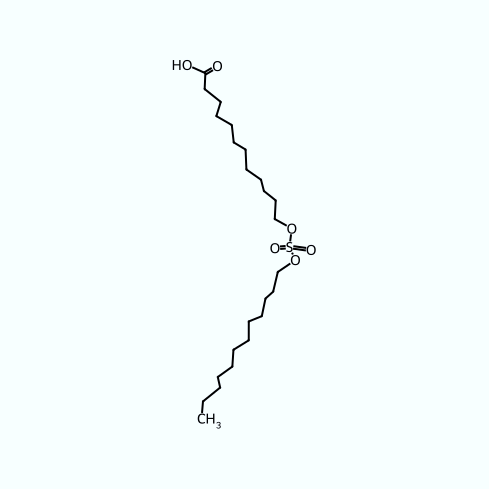 CCCCCCCCCCCCOS(=O)(=O)OCCCCCCCCCCCC(=O)O